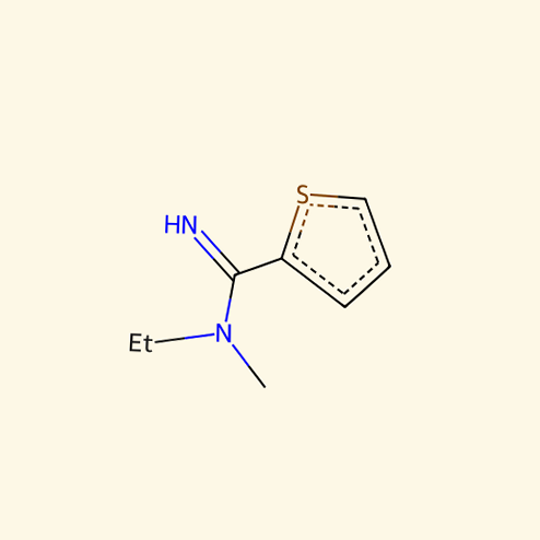 CCN(C)C(=N)c1cccs1